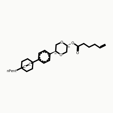 C=CCCCC(=O)O[C@@H]1CO[C@@H](c2ccc(C34CCC(CCCCC)(CC3)CC4)cc2)CO1